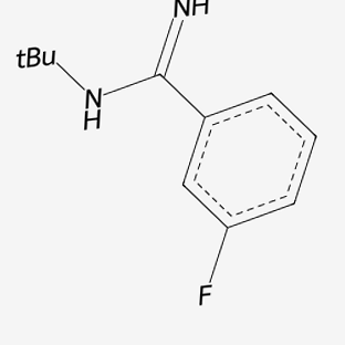 CC(C)(C)NC(=N)c1cccc(F)c1